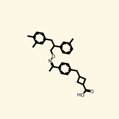 CC(=NOCC(Cc1ccc(C)c(C)c1)c1cccc(C)c1)c1ccc(CC2CC(C(=O)O)C2)cc1